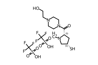 CN1C[C@@H](S)C[C@H]1C(=O)N1CCN(CCO)CC1.O=S(=O)(O)C(F)(F)F.O=S(=O)(O)C(F)(F)F